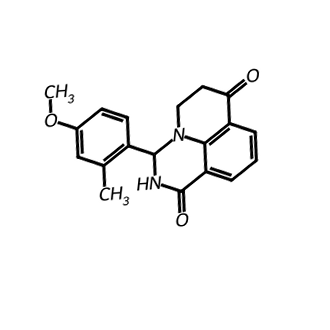 COc1ccc(C2NC(=O)c3cccc4c3N2CCC4=O)c(C)c1